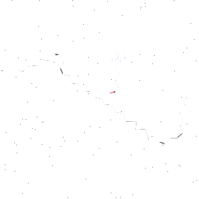 CCCCC/C=C\C/C=C\CCCCCCCCC(CCCCCCCC/C=C\C/C=C\CCCCCC)OC(=O)CCCCNC